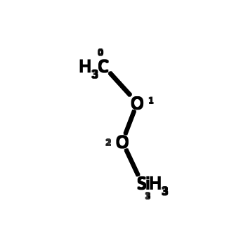 COO[SiH3]